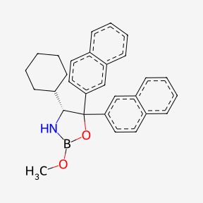 COB1N[C@H](C2CCCCC2)C(c2ccc3ccccc3c2)(c2ccc3ccccc3c2)O1